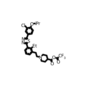 CCc1c(CCN2CCC(C(=O)OC(=O)C(F)(F)F)CC2)cccc1-c1nnc(-c2ccc(OC(C)C)c(Cl)c2)s1